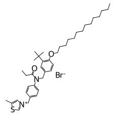 CCCCCCCCCCCCCCOc1ccc(CN(C(=O)CC)c2ccc(C[n+]3csc(C)c3)cc2)cc1C(C)(C)C.[Br-]